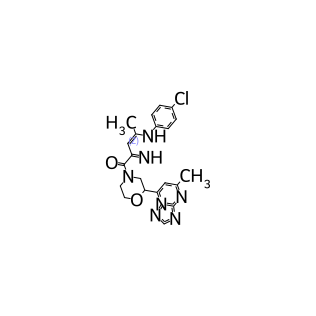 C/C(=C/C(=N)C(=O)N1CCOC(c2cc(C)nc3ncnn23)C1)Nc1ccc(Cl)cc1